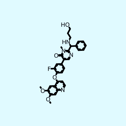 COc1cc2nccc(Oc3ccc(-c4cnc(C(NCCCO)c5ccccc5)n(C)c4=O)cc3F)c2cc1OC